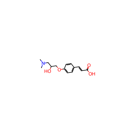 CN(C)CC(O)COc1ccc(/C=C/C(=O)O)cc1